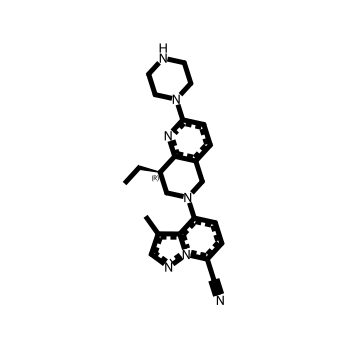 CC[C@@H]1CN(c2ccc(C#N)n3ncc(C)c23)Cc2ccc(N3CCNCC3)nc21